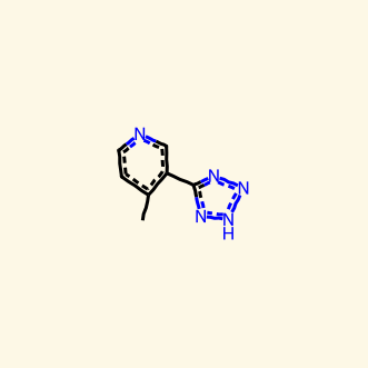 Cc1ccncc1-c1nn[nH]n1